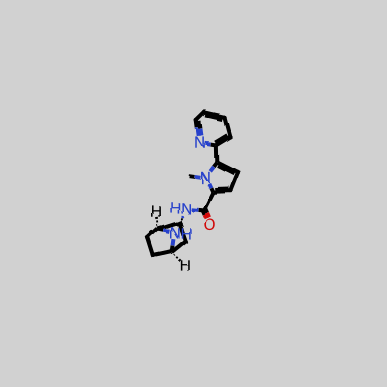 Cn1c(C(=O)N[C@@H]2C[C@H]3CC[C@@H]2N3)ccc1-c1ccccn1